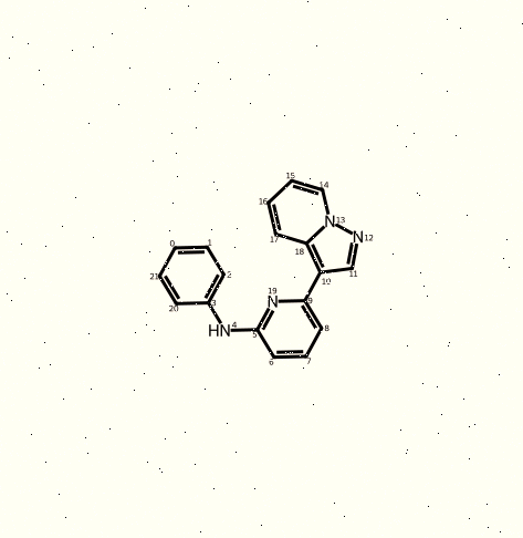 c1ccc(Nc2cccc(-c3cnn4ccccc34)n2)cc1